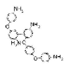 Nc1ccc(Oc2ccc(Oc3ccc(N)cc3-c3cc(Oc4ccc(N)cc4)ccc3N)cc2)cc1